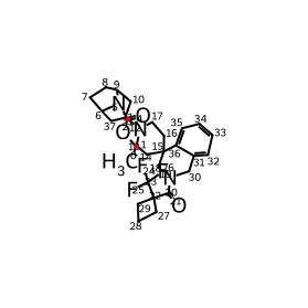 CCOC(=O)N1C2CCC1CC(N1CCC3(CC1)CN(C(=O)C1(C(F)(F)F)CCC1)Cc1ccccc13)C2